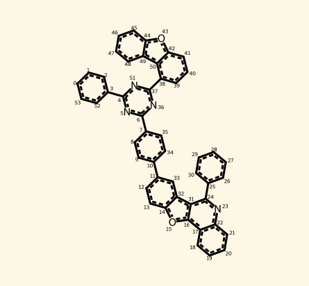 c1ccc(-c2nc(-c3ccc(-c4ccc5oc6c7ccccc7nc(-c7ccccc7)c6c5c4)cc3)nc(-c3cccc4oc5ccccc5c34)n2)cc1